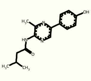 Cc1nc(-c2ccc(O)cc2)cnc1NC(=O)CC(C)C